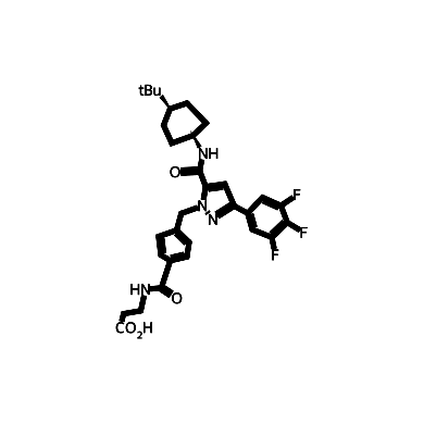 CC(C)(C)[C@H]1CC[C@@H](NC(=O)c2cc(-c3cc(F)c(F)c(F)c3)nn2Cc2ccc(C(=O)NCCC(=O)O)cc2)CC1